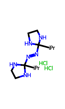 CC(C)C1(N=NC2(C(C)C)NCCN2)NCCN1.Cl.Cl